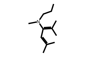 CCCN(C)C(C=C(C)C)=C(C)C